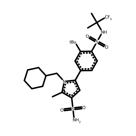 Cc1c(S(N)(=O)=O)cc(-c2ccc(S(=O)(=O)NC(C)(C)C(F)(F)F)c(C(C)(C)C)c2)n1CC1CCCCC1